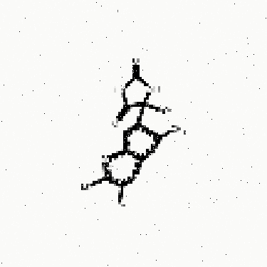 CCCC1(c2cc3nc(CC)c(CC)nc3cc2C)NC(=O)NC1=O